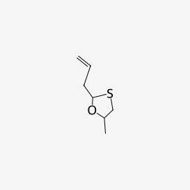 C=CCC1OC(C)CS1